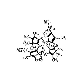 CC1=C(C)C(C)(C)[C]([Zr][C]2=C(C)C(C)=C(C)C2(C)C)=C1C.CC1=C(C)C(C)(C)[C]([Zr][C]2=C(C)C(C)=C(C)C2(C)C)=C1C.CCl.Cl.Cl